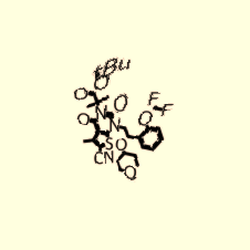 Cc1c(C#N)sc2c1c(=O)n(C(C)(C)C(=O)OC(C)(C)C)c(=O)n2CC(OC1CCOCC1)c1ccccc1OC(F)F